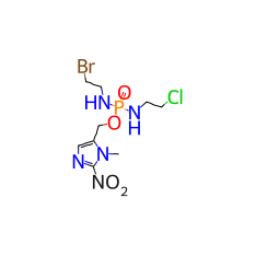 Cn1c(COP(=O)(NCCCl)NCCBr)cnc1[N+](=O)[O-]